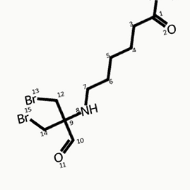 NC(=O)CCCCCNC(C=O)(CBr)CBr